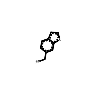 SCc1ccc2ccsc2c1